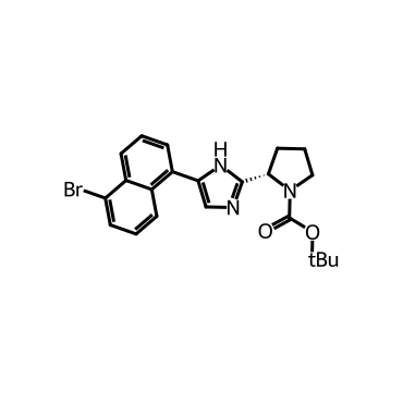 CC(C)(C)OC(=O)N1CCC[C@H]1c1ncc(-c2cccc3c(Br)cccc23)[nH]1